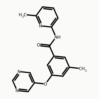 Cc1cc(Oc2cncnc2)cc(C(=O)Nc2cccc(C)n2)c1